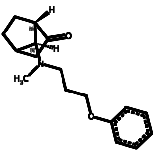 CN(CCCOc1ccccc1)[C@H]1C2CC[C@@H]1C(=O)C2